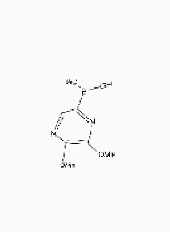 COc1ncc(B(O)O)nc1OC